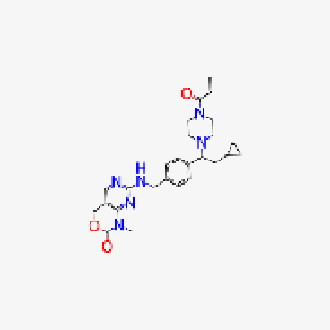 C=CC(=O)N1CCN(C(CC2CC2)c2ccc(CNc3ncc4c(n3)N(C)C(=O)OC4)cc2)CC1